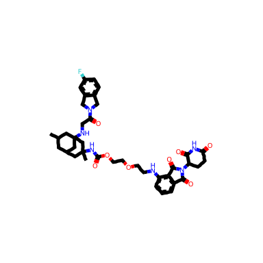 CC1CC2CC(C)(NC(=O)OCCOCCNc3cccc4c3C(=O)N(C3CCC(=O)NC3=O)C4=O)CC(NCC(=O)N3Cc4ccc(F)cc4C3)(C1)C2